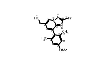 COc1cc(C)c(-c2cc(CO)cn3nc(C(C)C)nc23)c(C)c1